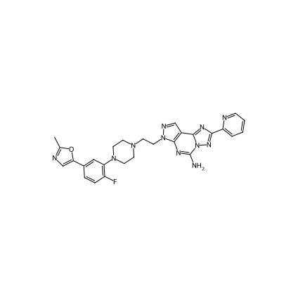 Cc1ncc(-c2ccc(F)c(N3CCN(CCn4ncc5c4nc(N)n4nc(-c6ccccn6)nc54)CC3)c2)o1